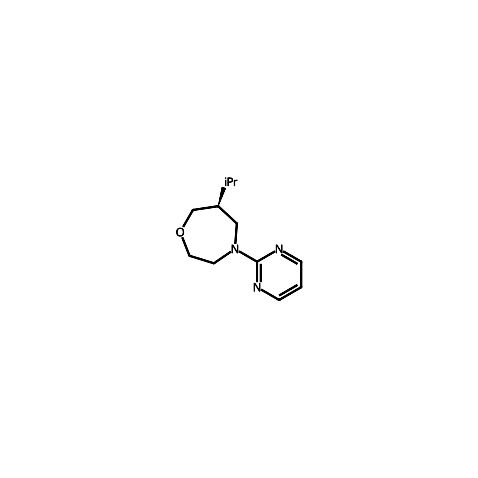 CC(C)[C@@H]1COCCN(c2ncccn2)C1